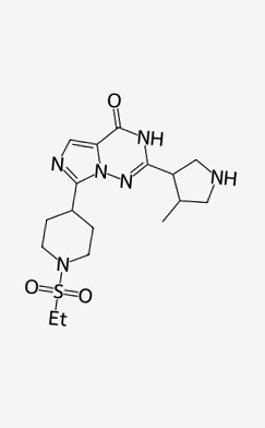 CCS(=O)(=O)N1CCC(c2ncc3c(=O)[nH]c(C4CNCC4C)nn23)CC1